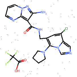 Nc1nn2cccnc2c1C(=O)NCc1cc(Cl)c2cncn2c1N1CCCC1.O=C(O)C(F)(F)F